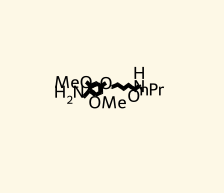 CCCNC(=O)CCCCOc1cc(OC)c(CN)c(OC)c1